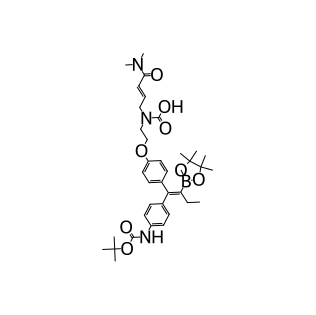 CCC(B1OC(C)(C)C(C)(C)O1)=C(c1ccc(NC(=O)OC(C)(C)C)cc1)c1ccc(OCCN(C/C=C/C(=O)N(C)C)C(=O)O)cc1